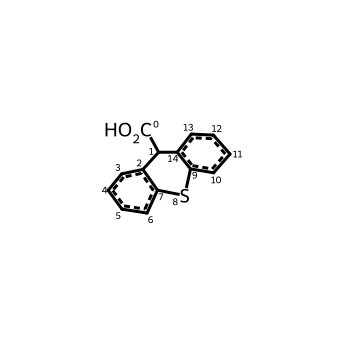 O=C(O)C1c2ccccc2Sc2ccccc21